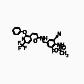 CS(=O)(=O)Nc1c(F)cc(CNC(=O)/C=C\c2ccc(C(F)(F)F)nc2Oc2ccccc2)cc1C#N